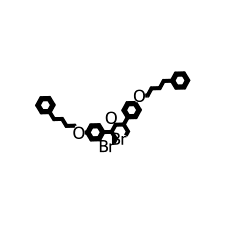 O=C(C(CBr)c1ccc(OCCCCc2ccccc2)cc1)C(CBr)c1ccc(OCCCCc2ccccc2)cc1